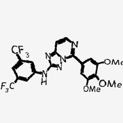 COc1cc(-c2nccc3nc(Nc4cc(C(F)(F)F)cc(C(F)(F)F)c4)nn23)cc(OC)c1OC